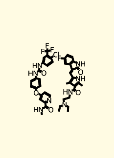 CCN(CC)CCNC(=O)c1c(C)[nH]c(/C=C2\C(=O)Nc3ccc(F)cc32)c1C.CNC(=O)c1cc(Oc2ccc(NC(=O)Nc3ccc(Cl)c(C(F)(F)F)c3)cc2)ccn1